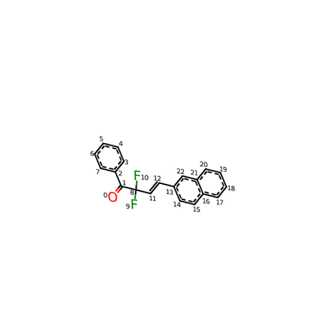 O=C(c1ccccc1)C(F)(F)/C=C/c1ccc2ccccc2c1